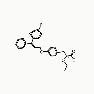 CCO[C@@H](Cc1ccc(OCC=C(c2ccccc2)c2ccc(F)cc2)cc1)C(=O)O